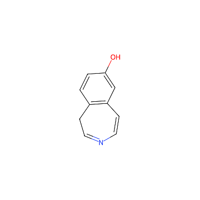 Oc1ccc2c(c1)C=CN=CC2